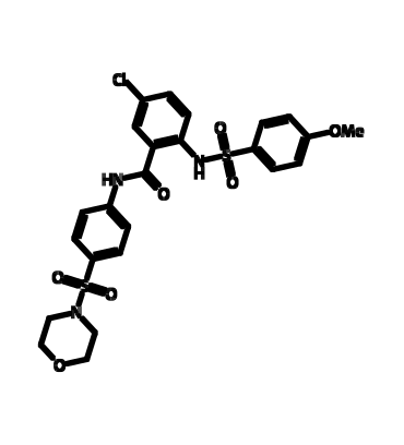 COc1ccc(S(=O)(=O)Nc2ccc(Cl)cc2C(=O)Nc2ccc(S(=O)(=O)N3CCOCC3)cc2)cc1